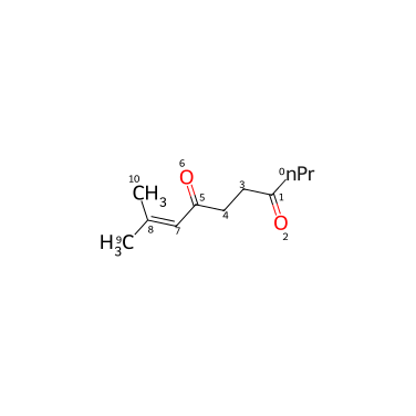 CCCC(=O)CCC(=O)C=C(C)C